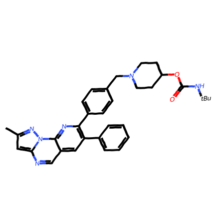 Cc1cc2ncc3cc(-c4ccccc4)c(-c4ccc(CN5CCC(OC(=O)NC(C)(C)C)CC5)cc4)nc3n2n1